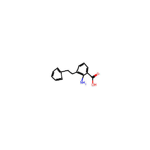 Nc1c(CCc2ccccc2)cccc1C(=O)O